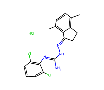 Cc1ccc(C)c2c1CCC2=NNC(N)=Nc1c(Cl)cccc1Cl.Cl